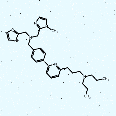 CCCN(CCC)CCCc1cccc(-c2ccc(CN(Cc3ncc[nH]3)Cc3nccn3C)cc2)n1